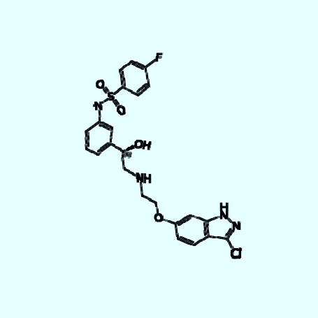 O=S(=O)([N]c1cccc([C@@H](O)CNCCOc2ccc3c(Cl)n[nH]c3c2)c1)c1ccc(F)cc1